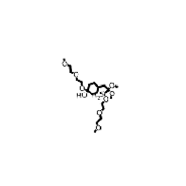 COCCOCCO[SiH2]C(CC1CCC(O)(OCCOCCOC)CC1)(OC)OC